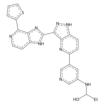 CCC(O)Nc1cncc(-c2ccc3[nH]nc(-c4nc5c(-c6cccs6)nccc5[nH]4)c3n2)c1